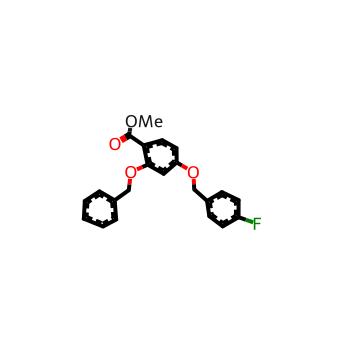 COC(=O)c1ccc(OCc2ccc(F)cc2)cc1OCc1ccccc1